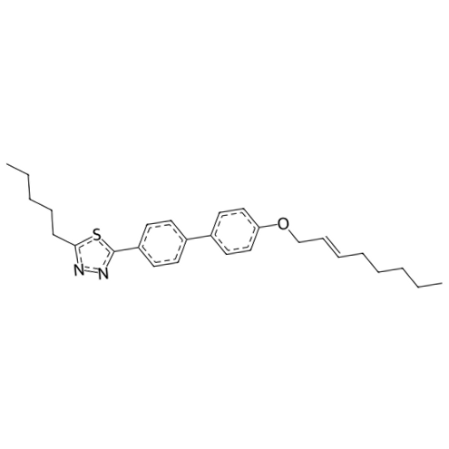 CCCCCC=CCOc1ccc(-c2ccc(-c3nnc(CCCCC)s3)cc2)cc1